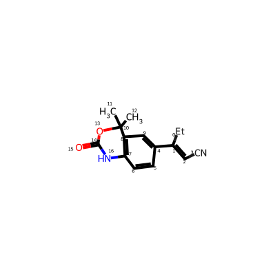 CC/C(=C\C#N)c1ccc2c(c1)C(C)(C)OC(=O)N2